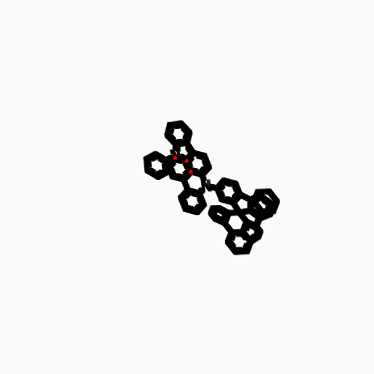 c1ccc(-c2ccccc2N(c2ccc3c(c2)C2(c4ccccc4-3)c3ccccc3-c3cccc4ccc(C5CCCCC5)c2c34)c2ccc3c4ccccc4n(-c4ccccc4)c3c2)cc1